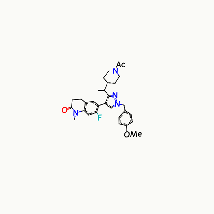 COc1ccc(Cn2cc(-c3cc4c(cc3F)N(C)C(=O)CC4)c(C(C)C3CCN(C(C)=O)CC3)n2)cc1